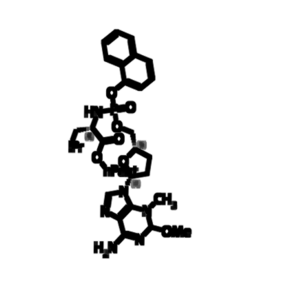 CCCCCOC(=O)[C@H](CC(C)C)NP(=O)(OC[C@@H]1CC[C@H](n2cnc3c2N(C)C(OC)N=C3N)O1)Oc1cccc2ccccc12